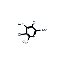 CC(=O)Oc1nc(C(Cl)(Cl)Cl)c(Cl)c(OC(C)=O)c1Cl